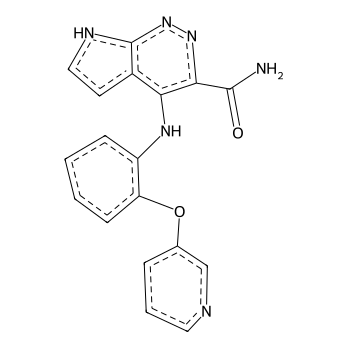 NC(=O)c1nnc2[nH]ccc2c1Nc1ccccc1Oc1cccnc1